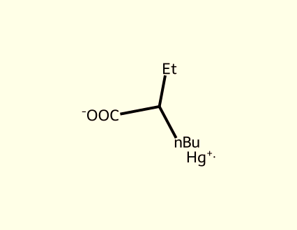 CCCCC(CC)C(=O)[O-].[Hg+]